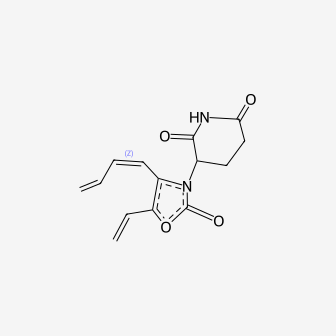 C=C/C=C\c1c(C=C)oc(=O)n1C1CCC(=O)NC1=O